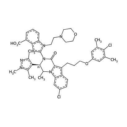 Cc1cc(OCCCc2c3n(c4cc(Cl)ccc24)C(C)[C@@H](c2c(C)nn(C)c2C)N(c2cc4c(C(=O)O)cccc4n2CCN2CCOCC2)C3=O)cc(C)c1Cl